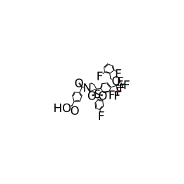 O=C(O)c1ccc(C(=O)N2CC[C@](c3ccc(C(OCc4c(F)cccc4F)(C(F)(F)F)C(F)(F)F)cc3)(S(=O)(=O)c3ccc(F)cc3)C2)cc1